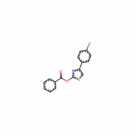 O=C(Oc1nc(-c2ccc(Cl)cc2)cs1)c1ccccc1